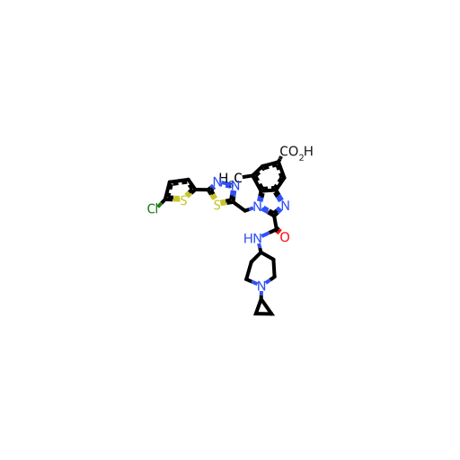 Cc1cc(C(=O)O)cc2nc(C(=O)NC3CCN(C4CC4)CC3)n(Cc3nnc(-c4ccc(Cl)s4)s3)c12